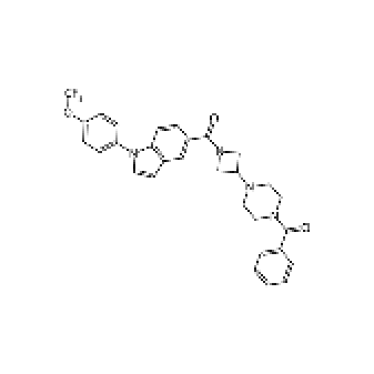 O=C(c1ccccc1)N1CCN(C2CN(C(=O)c3ccc4c(ccn4-c4ccc(OC(F)(F)F)cc4)c3)C2)CC1